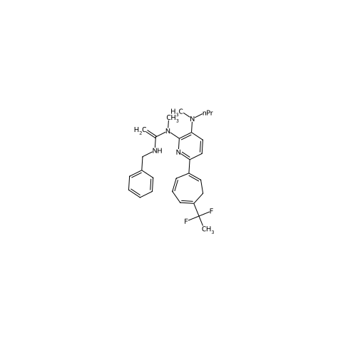 C=C(NCc1ccccc1)N(C)c1nc(C2=CCC(C(C)(F)F)=CC=C2)ccc1N(C)CCC